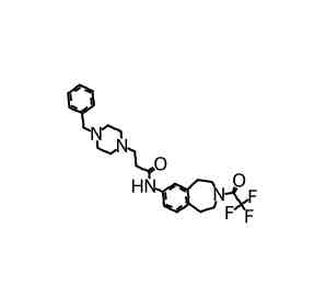 O=C(CCN1CCN(Cc2ccccc2)CC1)Nc1ccc2c(c1)CCN(C(=O)C(F)(F)F)CC2